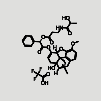 COc1ccc2c3c1O[C@H]1C(OC(=O)[C@@H](OC(=O)CCNC(=O)[C@H](C)O)c4ccccc4)=CC[C@@]4(O)[C@@H](C2)N(C)CC[C@]314.O=C(O)C(F)(F)F